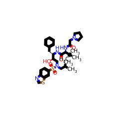 CC(C)CN(C[C@@H](O)[C@H](Cc1ccccc1)NC(=O)[C@@H](NC(=O)CN1CCCC1)C(C)(C)C)S(=O)(=O)c1ccc2ncsc2c1